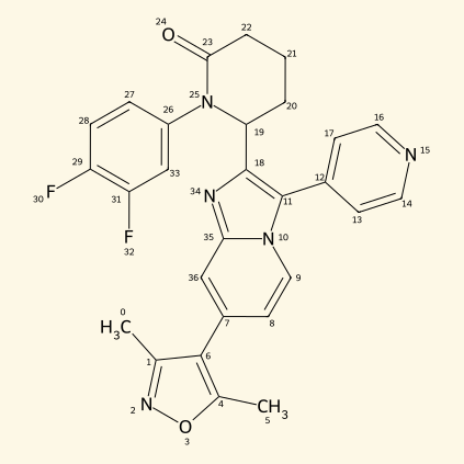 Cc1noc(C)c1-c1ccn2c(-c3ccncc3)c(C3CCCC(=O)N3c3ccc(F)c(F)c3)nc2c1